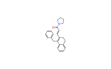 O=C(C=CC1=C(Cc2ccccc2)c2ccccc2CC1)N1CCCC1